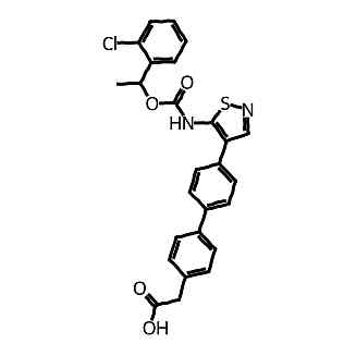 CC(OC(=O)Nc1sncc1-c1ccc(-c2ccc(CC(=O)O)cc2)cc1)c1ccccc1Cl